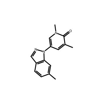 Cc1ccc2cnn(-c3cc(C)c(=O)n(C)c3)c2c1